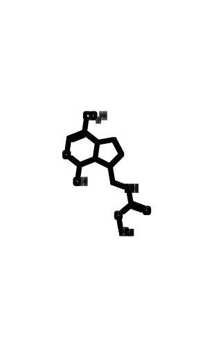 CC(C)(C)OC(=O)NCC1CCC2C(C(=O)O)=COC(O)C12